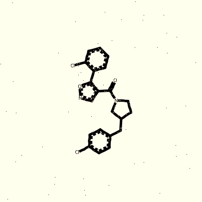 O=C(c1cnoc1-c1ccccc1Cl)N1CCC(Cc2ccc(Cl)cc2)C1